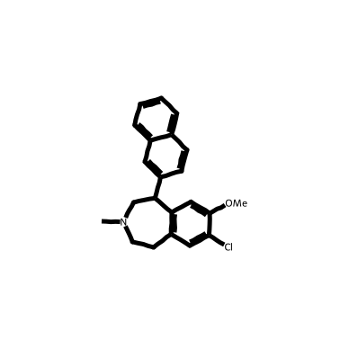 COc1cc2c(cc1Cl)CCN(C)CC2c1ccc2ccccc2c1